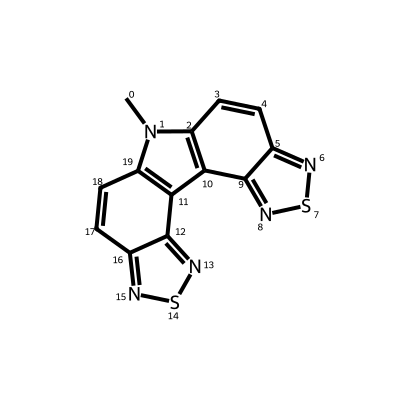 Cn1c2ccc3nsnc3c2c2c3nsnc3ccc21